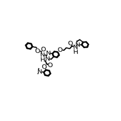 CN(C)c1ccccc1OC(=O)CN1Cc2ccc(OCCCC(=O)NN3CCc4ccccc43)cc2N=C1NC(=O)OCc1ccccc1